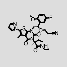 CCNC(=O)[C@](C)(CC)n1c(=O)c2c(C)c(-n3cccn3)sc2n(C[C@H](OCCC#N)c2cc(F)ccc2OC)c1=O